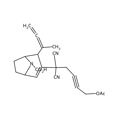 C=C=C(C)C1C(C(C#N)(C#N)CC#CCOC(C)=O)=CC2CCC1N2C(=O)O